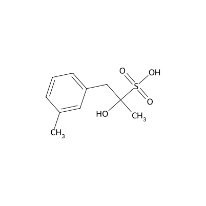 Cc1cccc(CC(C)(O)S(=O)(=O)O)c1